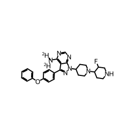 [2H]N([2H])c1ncnc2c1c(-c1ccc(Oc3ccccc3)cc1)nn2C1CCN(C2CCNCC2F)CC1